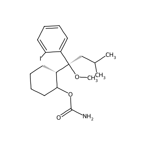 CO[C@](CC(C)C)(c1ccccc1I)[C@H]1CCCCC1OC(N)=O